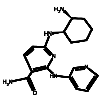 NC(=O)c1ccc(N[C@@H]2CCCC[C@@H]2N)nc1Nc1cccnc1